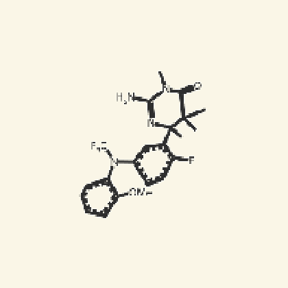 COc1ccccc1N(c1ccc(F)c(C2(C)N=C(N)N(C)C(=O)C2(C)C)c1)C(F)(F)F